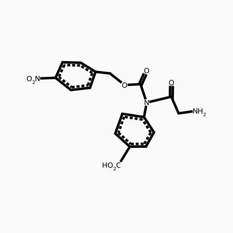 NCC(=O)N(C(=O)OCc1ccc([N+](=O)[O-])cc1)c1ccc(C(=O)O)cc1